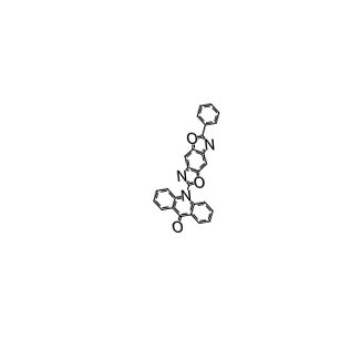 O=c1c2ccccc2n(-c2nc3cc4oc(-c5ccccc5)nc4cc3o2)c2ccccc12